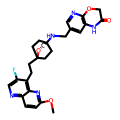 COc1ccc2ncc(F)c(CCC34CCC(NCc5cnc6c(c5)NC(=O)CO6)(CC3)CO4)c2n1